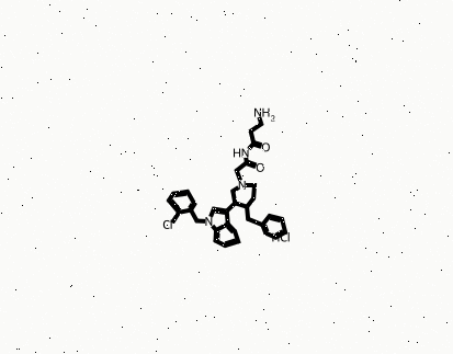 Cl.NCCC(=O)NC(=O)CN1CCC(Cc2ccccc2)C(c2cn(Cc3ccccc3Cl)c3ccccc23)C1